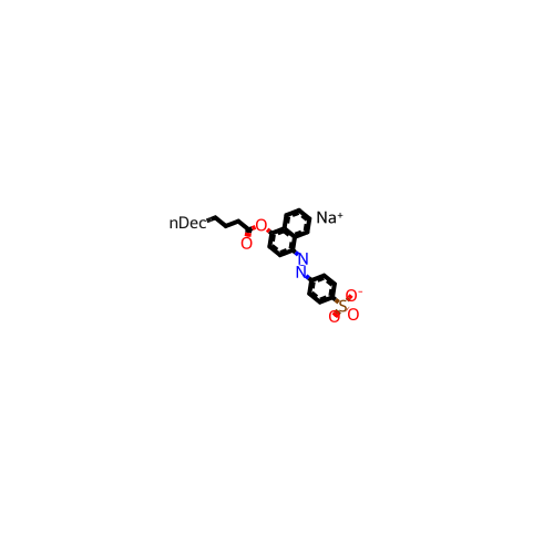 CCCCCCCCCCCCCC(=O)Oc1ccc(N=Nc2ccc(S(=O)(=O)[O-])cc2)c2ccccc12.[Na+]